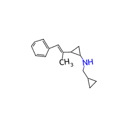 C/C(=C\c1ccccc1)C1CC1NCC1CC1